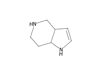 C1=CC2CNCCC2N1